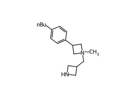 CCCCc1ccc(C2C[N+](C)(CC3CNC3)C2)cc1